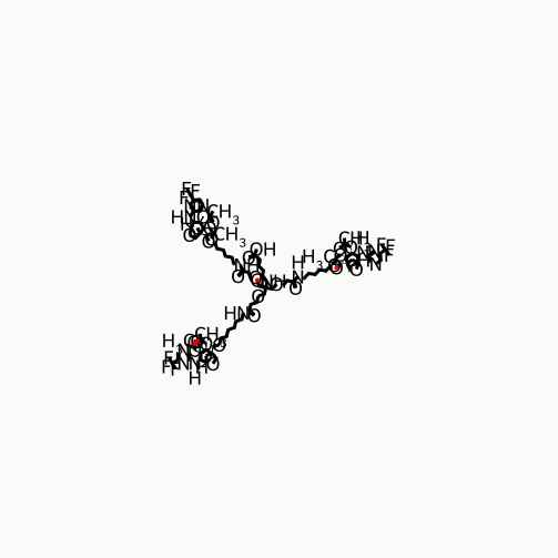 CC(=O)O[C@@H]1[C@@H](Nc2cncc(C(F)(F)F)n2)[C@H]2OC[C@](COCCCCCCNC(=O)CCOCC(COCCC(=O)NCCCCCCOC[C@@]34CO[C@@H](O3)[C@H](Nc3cncc(C(F)(F)F)n3)[C@@H](OC(C)=O)[C@H]4OC(C)=O)(COCCC(=O)NCCCCCCOC[C@@]34CO[C@@H](O3)[C@H](Nc3cncc(C(F)(F)F)n3)[C@@H](OC(C)=O)[C@H]4OC(C)=O)NC(=O)CCCC(=O)O)(O2)[C@@H]1OC(C)=O